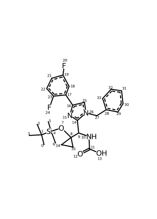 CC(C)(C)[Si](C)(C)OC1(C(NC(=O)O)c2nc(-c3cc(F)ccc3F)cn2Cc2ccccc2)CC1